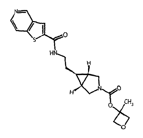 CC1(OC(=O)N2C[C@@H]3[C@@H](CCNC(=O)c4cc5cnccc5s4)[C@@H]3C2)COC1